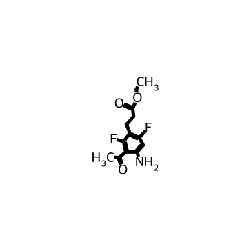 CCOC(=O)CCc1c(F)cc(N)c(C(C)=O)c1F